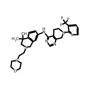 CC1(C)CN(CCN2CCOCC2)Cc2cc(Nc3ncnc4c3CCN(c3ncccc3C(F)(F)F)C4)ccc21